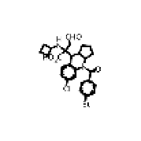 CCc1ccc(C(=O)N2c3cc(Cl)ccc3C(C(CC=O)(NC3CCC3)C(=O)O)C3CCCC32)cc1